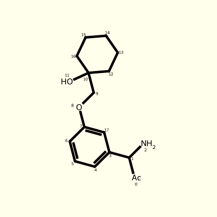 CC(=O)C(N)c1cccc(OCC2(O)CCCCC2)c1